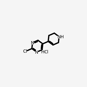 Cl.Clc1ncc(C2=CCNCC2)cn1